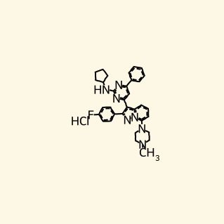 CN1CCN(c2cccc3c(-c4cc(-c5ccccc5)nc(NC5CCCC5)n4)c(-c4ccc(F)cc4)nn23)CC1.Cl